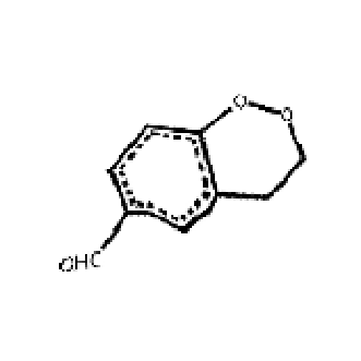 O=Cc1ccc2c(c1)CCOO2